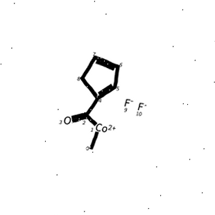 [CH3][Co+2][C](=O)C1=CC=CC1.[F-].[F-]